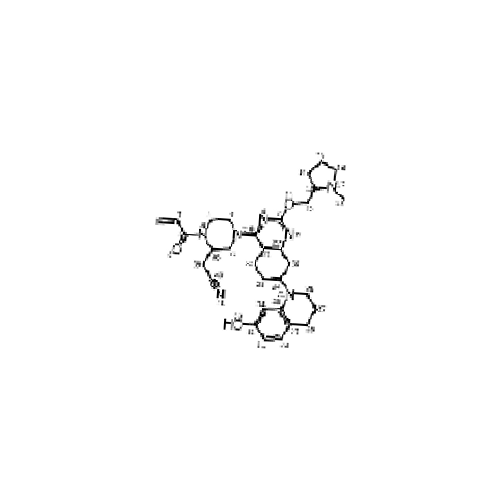 C=CC(=O)N1CCN(c2nc(OCC3CCCN3C)nc3c2CCC(N2CCCc4ccc(O)cc42)C3)CC1CC#N